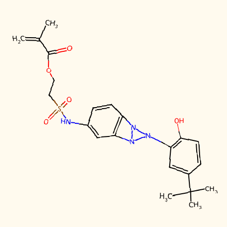 C=C(C)C(=O)OCCS(=O)(=O)Nc1ccc2c(c1)n1n(-c3cc(C(C)(C)C)ccc3O)n21